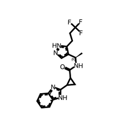 C[C@@H](NC(=O)C1CC1c1nc2ccccc2[nH]1)c1cn[nH]c1CCC(F)(F)F